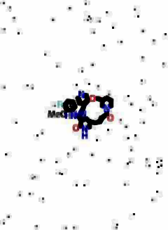 COc1c(F)cccc1Nc1c2[nH]c3c1C(=O)NCC3C/C=C/C(=O)N1CCCC(COc3cnccc3-2)C1